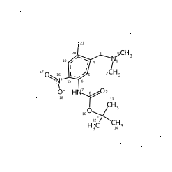 CN(C)Cc1cc(NC(=O)OC(C)(C)C)c([N+](=O)[O-])cc1I